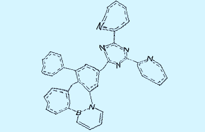 C1=CB2c3ccccc3-c3c(-c4ccccc4)cc(-c4nc(-c5ccccn5)nc(-c5ccccn5)n4)cc3N2C=C1